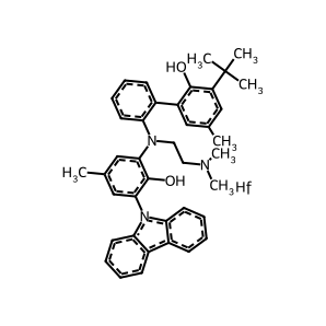 Cc1cc(N(CCN(C)C)c2ccccc2-c2cc(C)cc(C(C)(C)C)c2O)c(O)c(-n2c3ccccc3c3ccccc32)c1.[Hf]